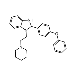 c1ccc(Oc2ccc(C3Nc4ccccc4N3CCN3CCCCC3)cc2)cc1